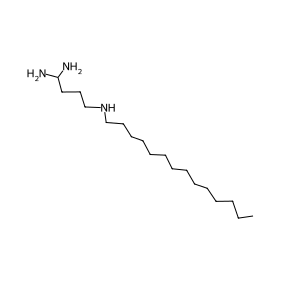 CCCCCCCCCCCCCCNCCCC(N)N